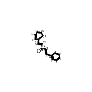 [O-][S+](C=Cc1ccccc1)C=Cc1ccccc1